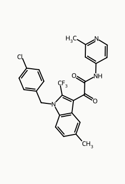 Cc1ccc2c(c1)c(C(=O)C(=O)Nc1ccnc(C)c1)c(C(F)(F)F)n2Cc1ccc(Cl)cc1